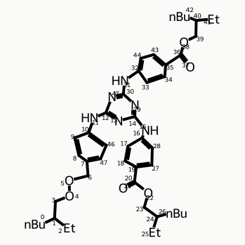 CCCCC(CC)COOCc1ccc(Nc2nc(Nc3ccc(C(=O)OCC(CC)CCCC)cc3)nc(Nc3ccc(C(=O)OCC(CC)CCCC)cc3)n2)cc1